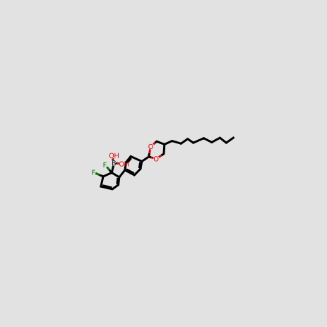 CCCCCCCCCC1COC(c2ccc(C3=CC=CC(F)C3(F)B(O)O)cc2)OC1